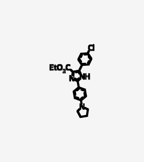 CCOC(=O)c1nc(-c2ccc(N3CCCC3)cc2)[nH]c1-c1ccc(Cl)cc1